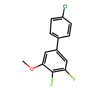 COc1cc(-c2ccc(Cl)cc2)cc(F)c1F